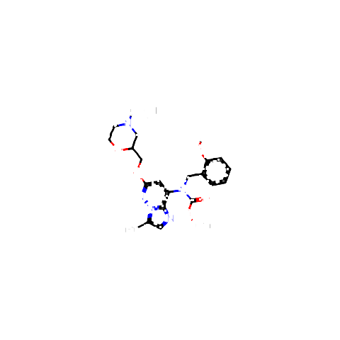 CC(C)c1cnc2c(N(Cc3ccccc3OC(F)(F)F)C(=O)OC(C)(C)C)cc(OCC3CN(C(=O)O)CCO3)nn12